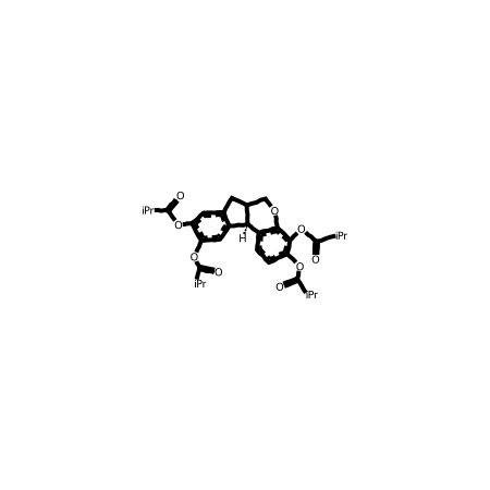 CC(C)C(=O)Oc1cc2c(cc1OC(=O)C(C)C)[C@@H]1c3ccc(OC(=O)C(C)C)c(OC(=O)C(C)C)c3OCC1C2